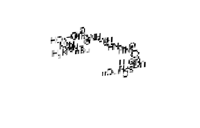 CCCCCCCCNC(=O)CSC1CC(=O)N(CC2CCC(C(=O)NCCCNCCCCNCCCNC(=O)CNC(=O)c3ccc(Cn4c(O)nc5c(N)nc(NCCCC)nc54)cc3)CC2)C1=O